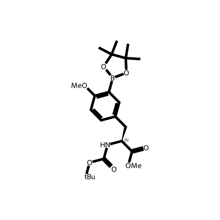 COC(=O)[C@H](Cc1ccc(OC)c(B2OC(C)(C)C(C)(C)O2)c1)NC(=O)OC(C)(C)C